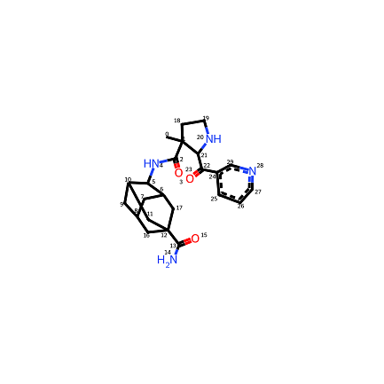 CC1(C(=O)NC2C3CC4CC2CC(C(N)=O)(C4)C3)CCNC1C(=O)c1cccnc1